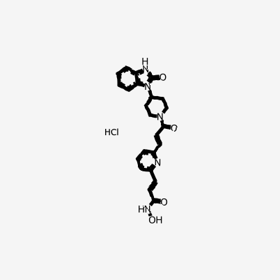 Cl.O=C(C=Cc1cccc(C=CC(=O)N2CCC(n3c(=O)[nH]c4ccccc43)CC2)n1)NO